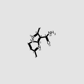 Cc1ccn2nc(C)c(C(N)=O)c2n1